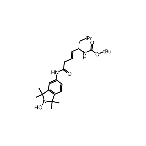 CC(C)C[C@@H](/C=C/CC(=O)Nc1ccc2c(c1)C(C)(C)N(O)C2(C)C)NC(=O)OC(C)(C)C